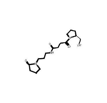 O=C(CCC(=O)N1CCC[C@H]1CO)NCCCN1CCCC1=O